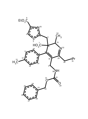 CCOC(=O)c1csc(CC2(C(=O)O)C(c3ccc(C)cc3)=C(CNC(=O)OCc3ccccc3)C(CC(C)C)=NC2C)n1